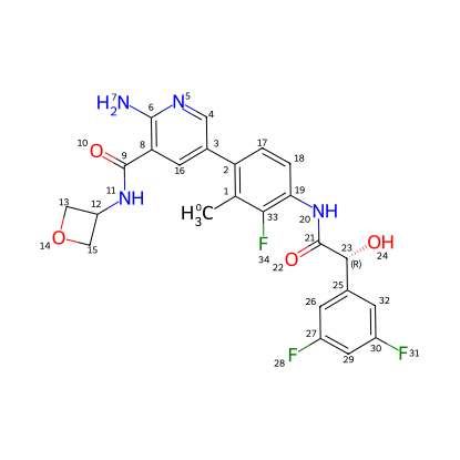 Cc1c(-c2cnc(N)c(C(=O)NC3COC3)c2)ccc(NC(=O)[C@H](O)c2cc(F)cc(F)c2)c1F